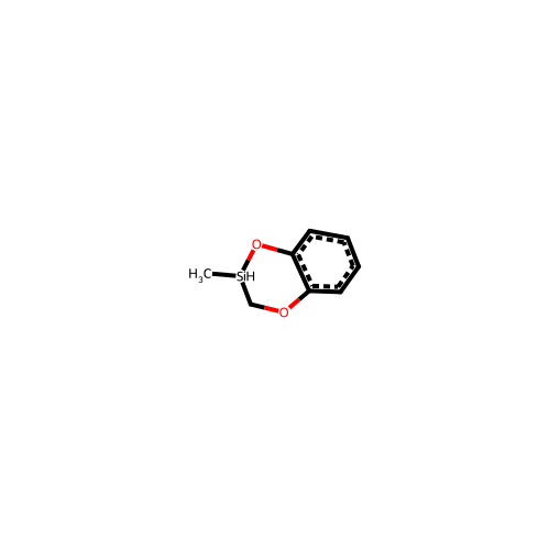 C[SiH]1COc2ccccc2O1